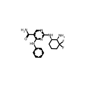 NC(=O)c1cnc(N[C@@H]2CCCC(F)(F)[C@@H]2N)nc1Nc1ccccc1